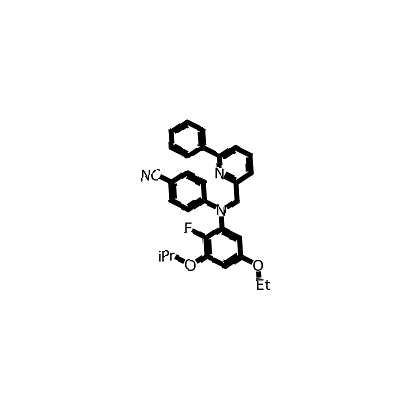 CCOc1cc(OC(C)C)c(F)c(N(Cc2cccc(-c3ccccc3)n2)c2ccc(C#N)cc2)c1